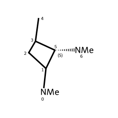 CNC1CC(C)[C@@H]1NC